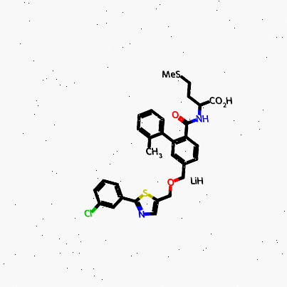 CSCCC(NC(=O)c1ccc(COCc2cnc(-c3cccc(Cl)c3)s2)cc1-c1ccccc1C)C(=O)O.[LiH]